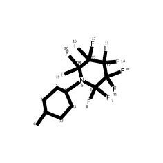 CC1CCC(N2C(F)(F)C(F)(F)C(F)(F)C(F)(F)C2(F)F)CC1